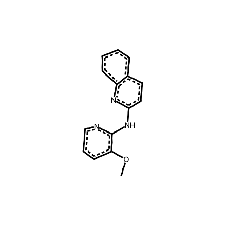 COc1cccnc1Nc1ccc2ccccc2n1